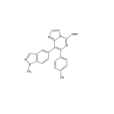 COc1nc(-c2ccc(C#N)cc2)c(-c2ccc3c(cnn3C)c2)c2nccn12